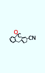 N#CC1C=C2CC(=O)c3ccccc3CC2=CC1